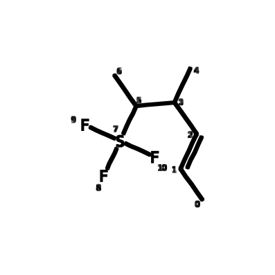 CC=CC(C)C(C)S(F)(F)F